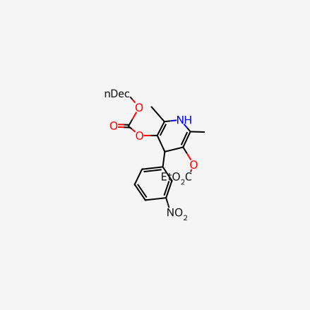 CCCCCCCCCCOC(=O)OC1=C(C)NC(C)=C(OC(=O)OCC)C1c1cccc([N+](=O)[O-])c1